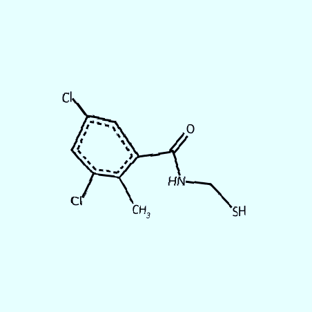 Cc1c(Cl)cc(Cl)cc1C(=O)NCS